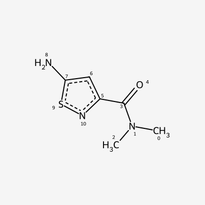 CN(C)C(=O)c1cc(N)sn1